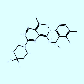 Cc1cccc([C@@H](C)Nc2nnc(C)c3cnc(N4CCC(F)(F)CC4)cc23)c1C